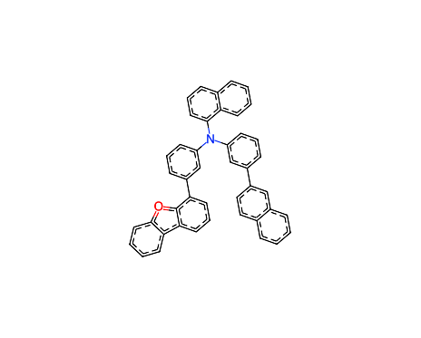 c1cc(-c2ccc3ccccc3c2)cc(N(c2cccc(-c3cccc4c3oc3ccccc34)c2)c2cccc3ccccc23)c1